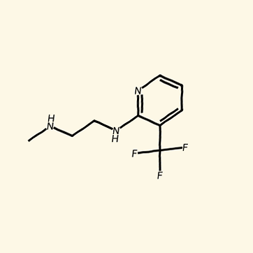 CNCCNc1ncccc1C(F)(F)F